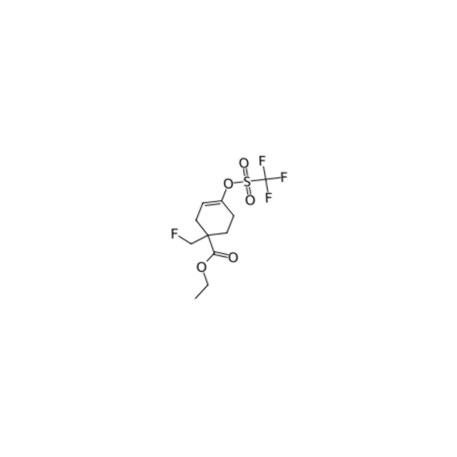 CCOC(=O)C1(CF)CC=C(OS(=O)(=O)C(F)(F)F)CC1